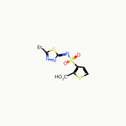 CCC1=N[N]C(=NS(=O)(=O)c2ccsc2C(=O)O)S1